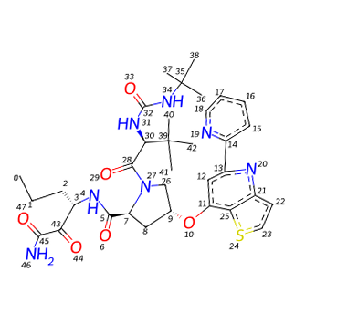 CCC[C@H](NC(=O)[C@@H]1C[C@@H](Oc2cc(-c3ccccn3)nc3ccsc23)CN1C(=O)[C@@H](NC(=O)NC(C)(C)C)C(C)(C)C)C(=O)C(N)=O